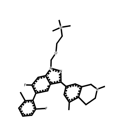 Cc1cc(-c2nn(COCC[Si](C)(C)C)c3cc(F)c(-c4c(C)cccc4F)cc23)cc2c1CCN(C)C2